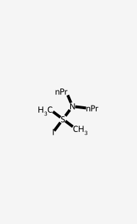 CCCN(CCC)S(C)(C)I